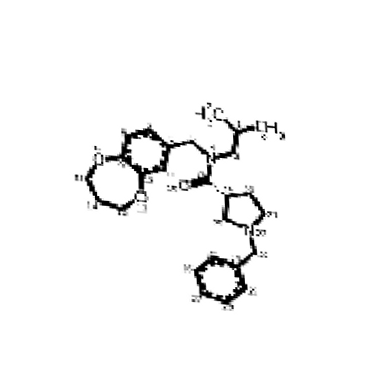 CC(C)CN(Cc1ccc2c(c1)OCCCO2)C(=O)[C@@H]1CCN(Cc2ccccc2)C1